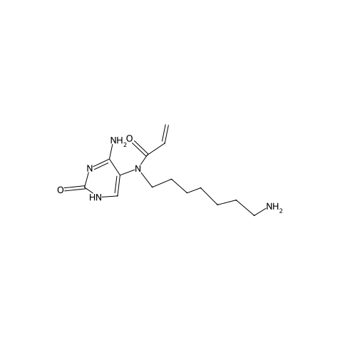 C=CC(=O)N(CCCCCCCN)c1c[nH]c(=O)nc1N